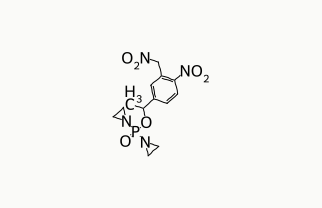 CC(OP(=O)(N1CC1)N1CC1)c1ccc([N+](=O)[O-])c(C[N+](=O)[O-])c1